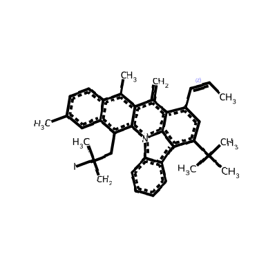 C=c1c2c(C)c3ccc(C)cc3c(CC(C)(C)I)c2n2c3ccccc3c3c(C(C)(C)C)cc(/C=C\C)c1c32